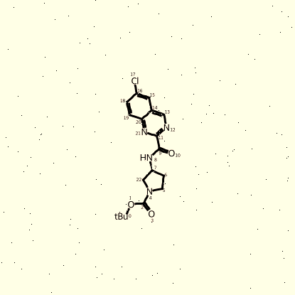 CC(C)(C)OC(=O)N1CC[C@H](NC(=O)c2ncc3cc(Cl)ccc3n2)C1